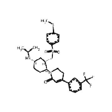 CSc1ccc(S(=O)(=O)C[C@H]2C[C@@H](NC(C)C)CC[C@@H]2N2CCC(c3cccc(C(F)(F)F)c3)=CC2=O)cc1